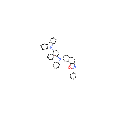 C1=CC2CC=c3nc(-c4ccccc4)oc3=C2C=C1N(c1ccc(-n2c3ccccc3c3ccccc32)cc1)c1ccccc1-c1ccccc1